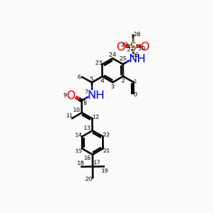 C=Cc1cc(C(C)NC(=O)C(C)=Cc2ccc(C(C)(C)C)cc2)ccc1NS(C)(=O)=O